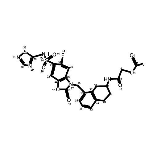 CC(=O)OCC(=O)NC1CCc2cccc(Cn3c(=O)oc4cc(S(=O)(=O)Nc5ncns5)c(F)cc43)c2C1